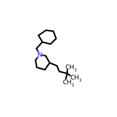 CC(C)(C)CCC1CCCN(CC2CCCCC2)C1